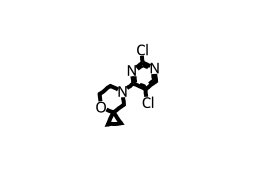 Clc1ncc(Cl)c(N2CCOC3(CC3)C2)n1